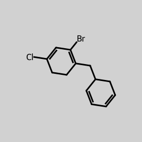 ClC1=CC(Br)=C(CC2C=CC=CC2)CC1